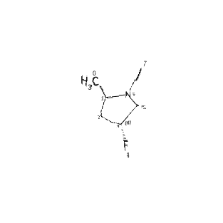 CC1C[C@@H](F)CN1I